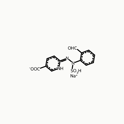 O=Cc1ccccc1N(N=c1ccc(C(=O)[O-])c[nH]1)S(=O)(=O)O.[Na+]